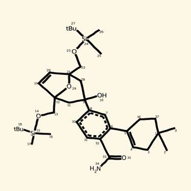 CC1(C)CC=C(c2cc(C3(O)CC4(CO[Si](C)(C)C(C)(C)C)C=CC(CO[Si](C)(C)C(C)(C)C)(C3)O4)ccc2C(N)=O)CC1